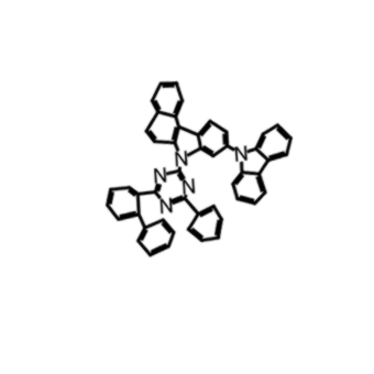 c1ccc(-c2nc(-c3ccccc3-c3ccccc3)nc(-n3c4cc(-n5c6ccccc6c6ccccc65)ccc4c4c5ccccc5ccc43)n2)cc1